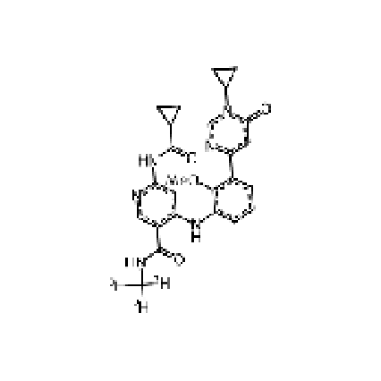 [2H]C([2H])([2H])NC(=O)c1cnc(NC(=O)C2CC2)cc1Nc1cccc(-c2cc(=O)n(C3CC3)cn2)c1OC